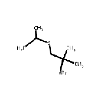 CCCC(C)(C)CSC(C)P